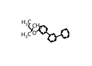 CCC(C)(C)Oc1cccc(-c2cccc(-c3ccccc3)c2)c1